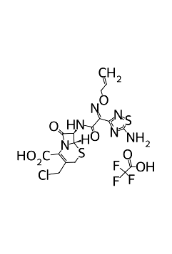 C=CCON=C(C(=O)N[C@@H]1C(=O)N2C(C(=O)O)=C(CCl)CS[C@@H]12)c1nsc(N)n1.O=C(O)C(F)(F)F